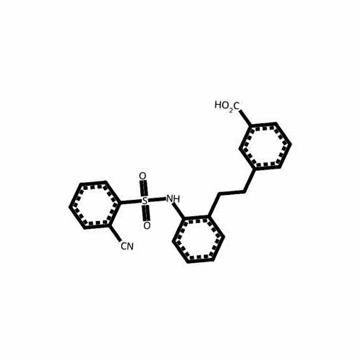 N#Cc1ccccc1S(=O)(=O)Nc1ccccc1CCc1cccc(C(=O)O)c1